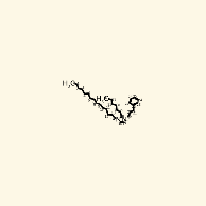 CCCCCCCCCCCCCCCn1cc[n+](CCCc2ccccc2)c1CCCCCC